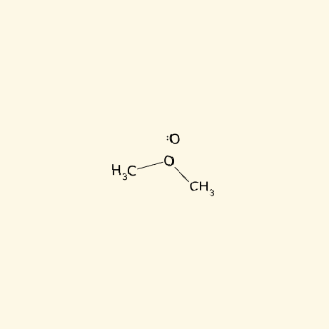 COC.[O]